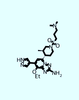 CCOc1c(-c2cn[nH]c2)cc([C@H]2CCN(S(=O)(=O)CCCN(C)C)C[C@@H]2C)n2nc(N)nc12